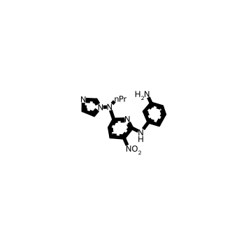 CCCN(c1ccc([N+](=O)[O-])c(Nc2cccc(N)c2)n1)n1ccnc1